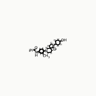 Cc1cc(NC(=O)C(C)C)ccc1N1CCCC2(CCN(C3CCC(O)CC3)C2=O)C1